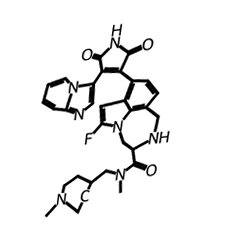 CN1CCC(CN(C)C(=O)C2Cn3c(F)cc4c(C5=C(c6cnc7ccccn67)C(=O)NC5=O)ccc(c43)CN2)CC1